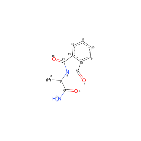 CC(C)C(C(N)=O)N1C(=O)c2ccccc2C1=O